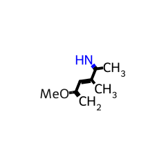 C=C(/C=C(\C)C(C)=N)OC